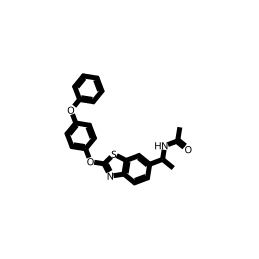 CC(=O)NC(C)c1ccc2nc(Oc3ccc(Oc4ccccc4)cc3)sc2c1